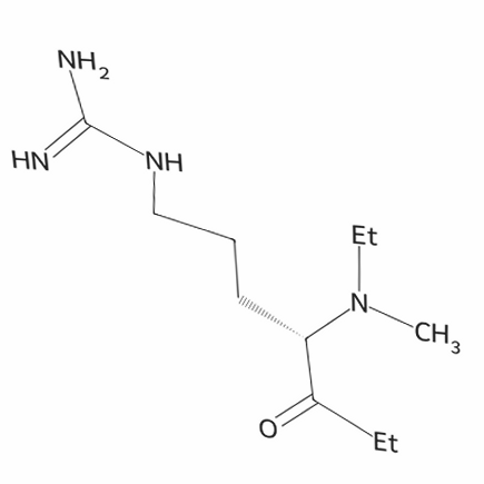 CCC(=O)[C@H](CCCNC(=N)N)N(C)CC